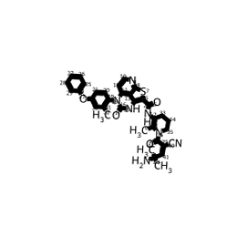 CC1=C(NC(=O)c2sc3nccc4c3c2NC(=O)N4c2ccc(Oc3ccccc3)cc2C)CCCN1C(=O)/C(C#N)=C\C(C)(C)N